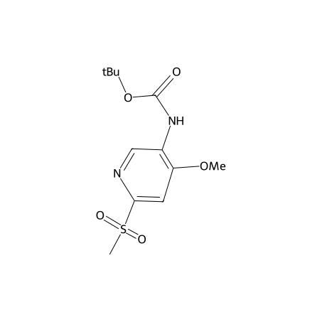 COc1cc(S(C)(=O)=O)ncc1NC(=O)OC(C)(C)C